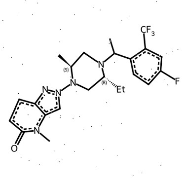 CC[C@@H]1CN(n2cc3c(ccc(=O)n3C)n2)[C@@H](C)CN1C(C)c1ccc(F)cc1C(F)(F)F